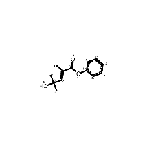 CC(=CC(C)(C)O)C(=O)Oc1ccccc1